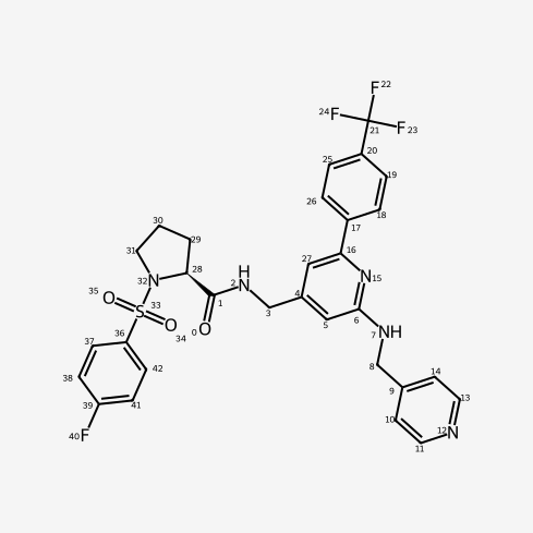 O=C(NCc1cc(NCc2ccncc2)nc(-c2ccc(C(F)(F)F)cc2)c1)[C@@H]1CCCN1S(=O)(=O)c1ccc(F)cc1